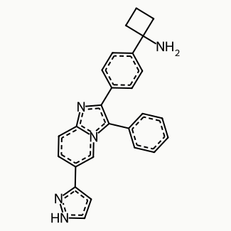 NC1(c2ccc(-c3nc4ccc(-c5cc[nH]n5)cn4c3-c3ccccc3)cc2)CCC1